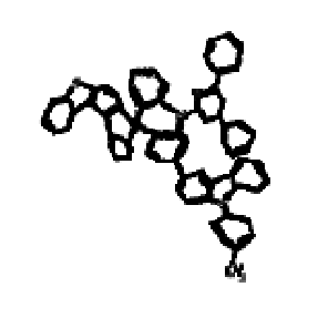 Cc1ccc(-n2c3ccccc3c3cc(-c4ccc5c(c4)N(c4cc(-c6ccccc6)cc(-c6ccccc6)n4)c4ccccc4C54c5ccccc5-c5c4ccc4sc6ccccc6c54)ccc32)cc1